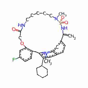 C=C1NS(=O)(=O)N(C)CCCCCNC(=O)COc2cc(F)ccc2-c2c(C3CCCCC3)c3ccc1cc3n2C